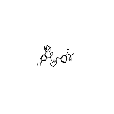 Cc1nc2ccc(CN3CCCN3C(=O)c3cc(Cl)ccc3-n3nccn3)cc2[nH]1